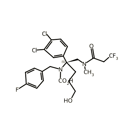 CN(C[C@](CCCO)(c1ccc(Cl)c(Cl)c1)N(Cc1ccc(F)cc1)C(=O)O)C(=O)CC(F)(F)F